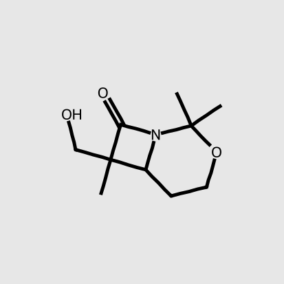 CC1(CO)C(=O)N2C1CCOC2(C)C